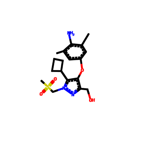 Cc1cc(Oc2c(CO)nn(CS(C)(=O)=O)c2C2CCC2)cc(C)c1N